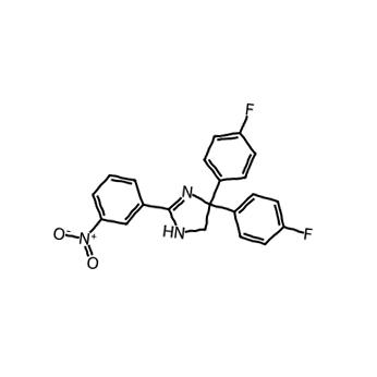 O=[N+]([O-])c1cccc(C2=NC(c3ccc(F)cc3)(c3ccc(F)cc3)CN2)c1